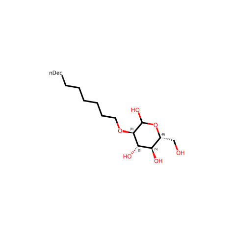 CCCCCCCCCCCCCCCCO[C@H]1C(O)O[C@H](CO)[C@@H](O)[C@@H]1O